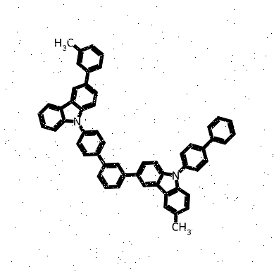 Cc1cccc(-c2ccc3c(c2)c2ccccc2n3-c2ccc(-c3cccc(-c4ccc5c(c4)c4cc(C)ccc4n5-c4ccc(-c5ccccc5)cc4)c3)cc2)c1